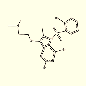 Cc1c(OCCN(C)C)c2cc(Br)cc(Br)c2n1S(=O)(=O)c1ccccc1Br